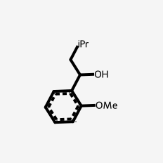 COc1[c]cccc1C(O)CC(C)C